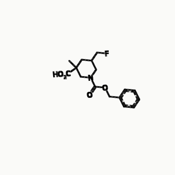 CC1(C(=O)O)CC(CF)CN(C(=O)OCc2ccccc2)C1